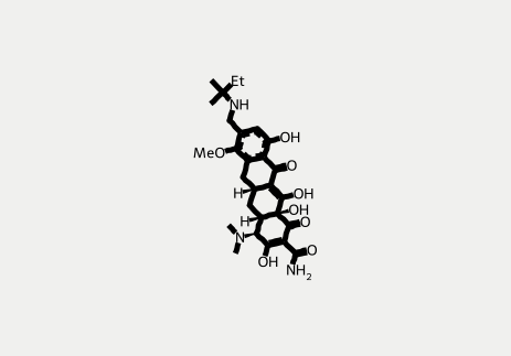 CCC(C)(C)NCc1cc(O)c2c(c1OC)C[C@H]1C[C@H]3[C@H](N(C)C)C(O)=C(C(N)=O)C(=O)[C@@]3(O)C(O)=C1C2=O